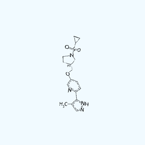 Cc1cn[nH]c1-c1ccc(OC[C@@H]2CCN(S(=O)(=O)C3CC3)C2)cn1